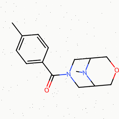 Cc1ccc(C(=O)N2CC3COCC(C2)N3C)cc1